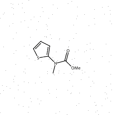 COC(=O)N(C)c1cccs1